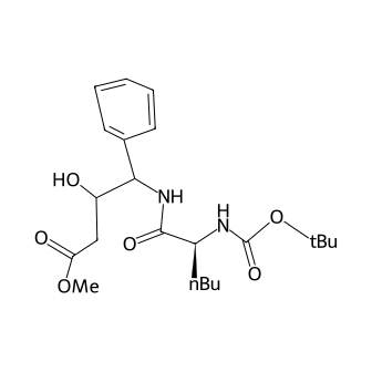 CCCC[C@H](NC(=O)OC(C)(C)C)C(=O)NC(c1ccccc1)C(O)CC(=O)OC